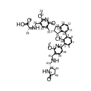 COc1nc(-c2cccc(-c3cccc4c3CC[C@@H]4Oc3nc(OC)c(CN[C@H](C)C(=O)O)cc3C)c2Cl)ccc1CNC[C@@H]1CCC(=O)N1